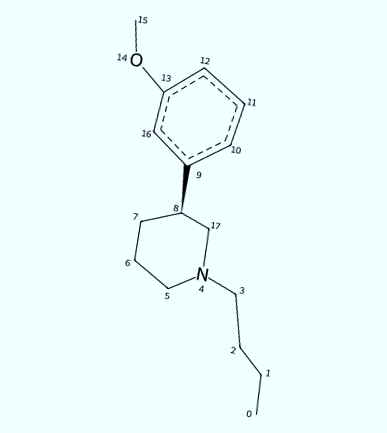 CCCCN1CCC[C@@H](c2cccc(OC)c2)C1